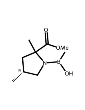 COC(=O)C1(C)C[C@@H](C)CN1B(C)O